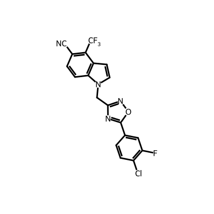 N#Cc1ccc2c(ccn2Cc2noc(-c3ccc(Cl)c(F)c3)n2)c1C(F)(F)F